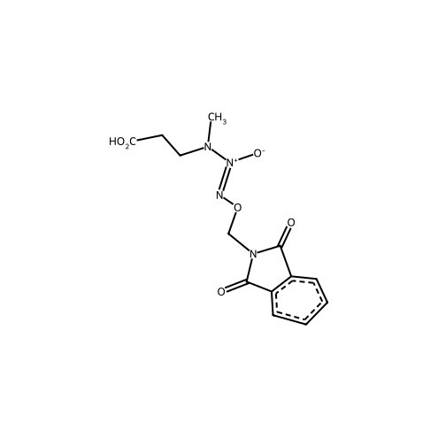 CN(CCC(=O)O)[N+]([O-])=NOCN1C(=O)c2ccccc2C1=O